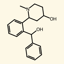 CN1CCC(O)CC1c1ccccc1C(O)c1ccccc1